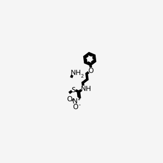 CN.CS/C(=C\[N+](=O)[O-])NCCCOc1ccccc1